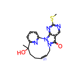 CSc1ncc2c(=O)n3n(c2n1)-c1cccc(n1)C(C)(O)CC/C=C\C3